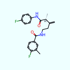 C=C(CCNC(=O)c1ccc(F)c(C)c1)[C@@H](C)C(=O)Nc1ccc(F)cc1